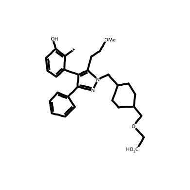 COCCc1c(-c2cccc(O)c2F)c(-c2ccccc2)nn1CC1CCC(COCC(=O)O)CC1